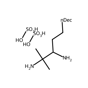 CCCCCCCCCCCCC(N)C(C)(C)N.O=S(=O)(O)O.O=S(=O)(O)O